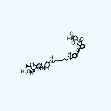 Cn1ncc(-c2nc(NC3CCC(NCCCCCCCNCc4ccc(COc5cccc6c5CN([C@H]5CCC(=O)NC5=O)C6=O)cc4)CC3)ncc2Cl)c1CC1CC1